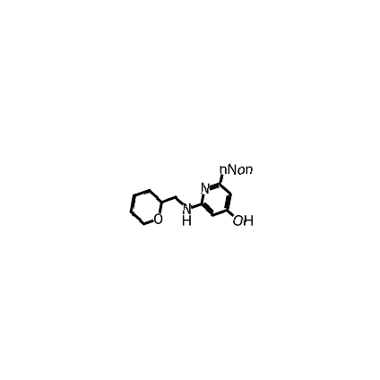 CCCCCCCCCc1cc(O)cc(NCC2CCCCO2)n1